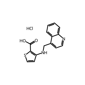 Cl.O=C(O)c1sccc1NCc1ccnc2ccccc12